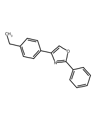 CCc1ccc(-c2coc(-c3ccccc3)n2)cc1